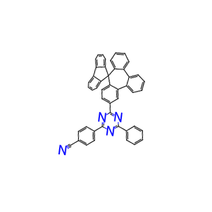 N#Cc1ccc(-c2nc(-c3ccccc3)nc(-c3ccc4c(c3)-c3ccccc3-c3ccccc3C43c4ccccc4-c4ccccc43)n2)cc1